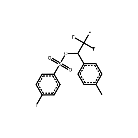 Cc1ccc(C(OS(=O)(=O)c2ccc(I)cc2)C(F)(F)F)cc1